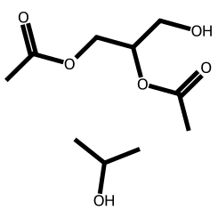 CC(=O)OCC(CO)OC(C)=O.CC(C)O